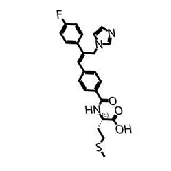 CSCC[C@H](NC(=O)c1ccc(C=C(Cn2ccnc2)c2ccc(F)cc2)cc1)C(=O)O